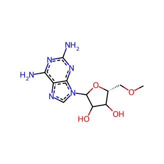 COC[C@H]1OC(n2cnc3c(N)nc(N)nc32)C(O)C1O